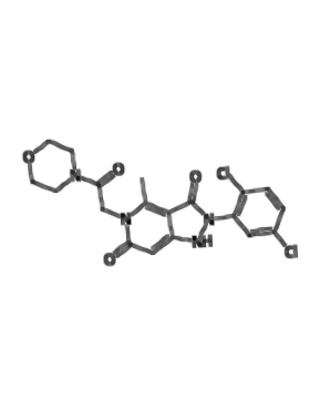 Cc1c2c(=O)n(-c3cc(Cl)ccc3Cl)[nH]c2cc(=O)n1CC(=O)N1CCOCC1